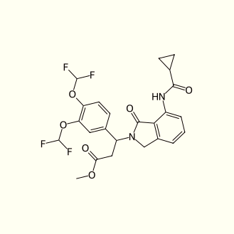 COC(=O)CC(c1ccc(OC(F)F)c(OC(F)F)c1)N1Cc2cccc(NC(=O)C3CC3)c2C1=O